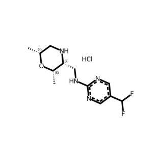 C[C@@H]1CN[C@H](CNc2ncc(C(F)F)cn2)[C@H](C)O1.Cl